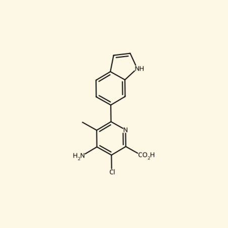 Cc1c(-c2ccc3cc[nH]c3c2)nc(C(=O)O)c(Cl)c1N